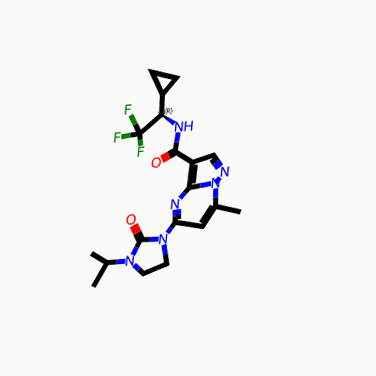 Cc1cc(N2CCN(C(C)C)C2=O)nc2c(C(=O)N[C@H](C3CC3)C(F)(F)F)cnn12